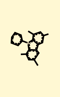 Cc1cc(C)c2c(c1)c1cc(C)cc(C)c1n2-c1ccccc1